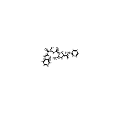 C=C(Nc1ccccc1)C1CC(C#N)N(C(=O)CN(C)C(=O)c2cc3ccccc3o2)C1